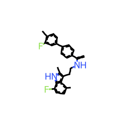 C=C(NCCc1c(C)[nH]c2c(F)ccc(C)c12)c1ccc(-c2ccc(C)c(F)c2)cc1